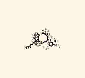 CC[C@H]1OC(=O)[C@H](C)C(=O)[C@H](C)[C@@H](O[C@@H]2O[C@H](C)CC(N)C2O)/C(C)=C/CN(C)[C@H](C)[C@H]2N(CCCCN=[N+]=[N-])C(=O)O[C@]12C